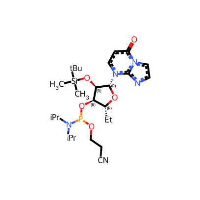 CC[C@H]1O[C@@H](n2ccc(=O)n3ccnc23)[C@H](O[Si](C)(C)C(C)(C)C)[C@@H]1OP(OCCC#N)N(C(C)C)C(C)C